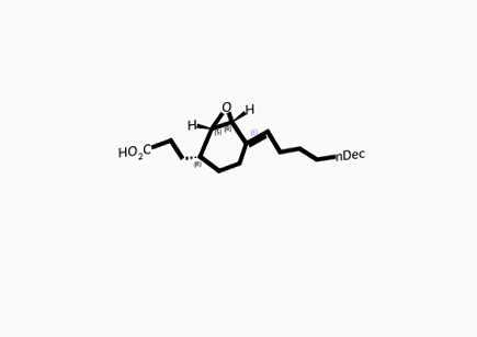 CCCCCCCCCCCCC/C=C1\CC[C@H](CCC(=O)O)[C@@H]2O[C@H]12